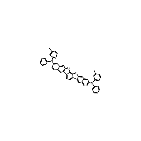 Cc1cccc(N(c2ccccc2)c2ccc3cc4c(cc3c2)oc2c4ccc3c4cc5ccc(N(c6ccccc6)c6cccc(C)c6)cc5cc4oc32)c1